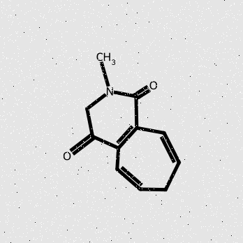 CN1CC(=O)C2=C(C=CCC=C2)C1=O